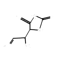 C=CC(N)C1NC(=O)NC1=O